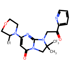 CCC1COCCN1c1cc(=O)n2c(n1)N(CC(=O)c1ccccn1)C(C)(C(F)(F)F)C2